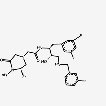 CCCN1C(=O)CN(CC(=O)N[C@@H](Cc2cc(F)cc(F)c2)[C@@H](O)CNCc2cccc(I)c2)C[C@H]1CC